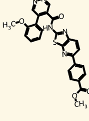 COC(=O)c1ccc(-c2ccc3nc(NC(=O)c4cnncc4-c4ccccc4OC)sc3n2)cc1